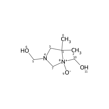 CC1(C)CN(CO)C[N+]1([O-])CO